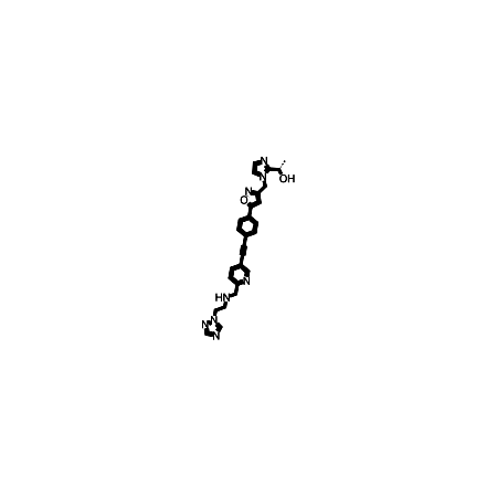 C[C@H](O)c1nccn1Cc1cc(-c2ccc(C#Cc3ccc(CNCCn4cncn4)nc3)cc2)on1